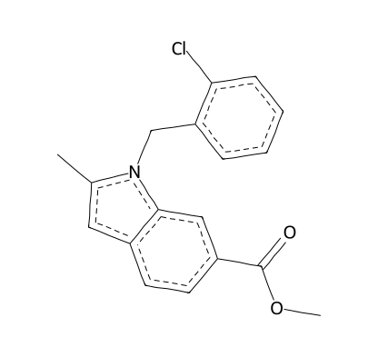 COC(=O)c1ccc2cc(C)n(Cc3ccccc3Cl)c2c1